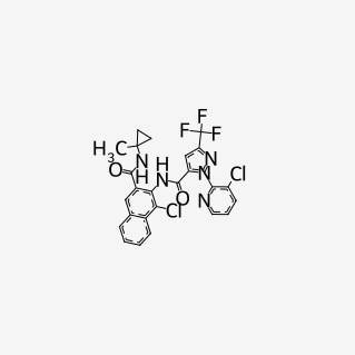 CC1(NC(=O)c2cc3ccccc3c(Cl)c2NC(=O)c2cc(C(F)(F)F)nn2-c2ncccc2Cl)CC1